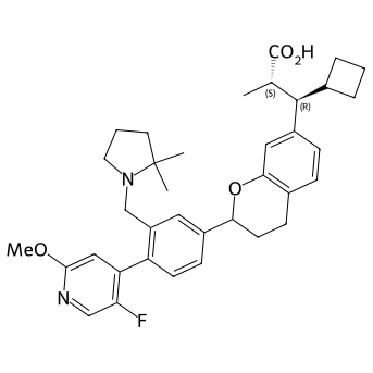 COc1cc(-c2ccc(C3CCc4ccc([C@H](C5CCC5)[C@H](C)C(=O)O)cc4O3)cc2CN2CCCC2(C)C)c(F)cn1